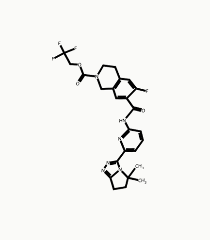 CC1(C)CCc2nnc(-c3cccc(NC(=O)c4cc5c(cc4F)CCN(C(=O)OCC(F)(F)F)C5)n3)n21